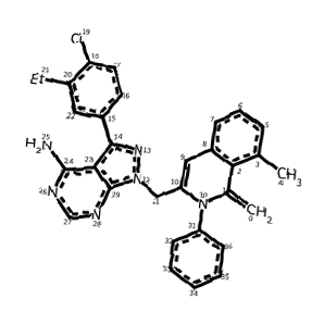 C=C1c2c(C)cccc2C=C(Cn2nc(-c3ccc(Cl)c(CC)c3)c3c(N)ncnc32)N1c1ccccc1